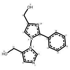 OCc1cn(-n2cncc2CO)c(-c2ccccc2)n1